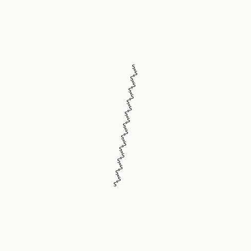 S=S=S=S=S=S=S=S=S=S=S=S=S=S=S=S=S=S=S=S=S